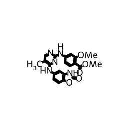 COC(=O)c1ccc(Nc2ncc(C)c(Nc3ccc4oc(=O)[nH]c4c3)n2)cc1OC